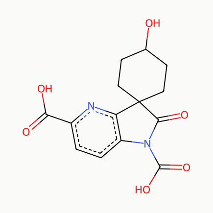 O=C(O)c1ccc2c(n1)C1(CCC(O)CC1)C(=O)N2C(=O)O